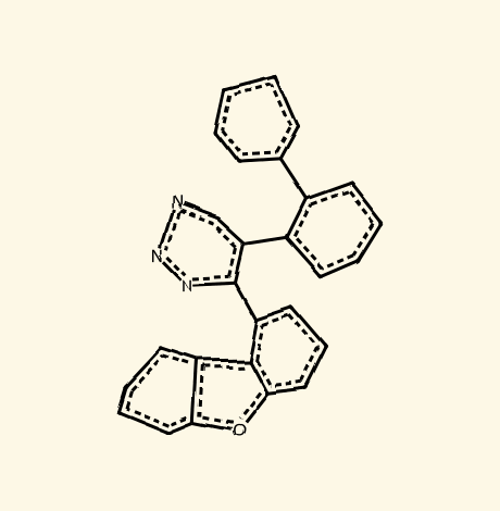 c1ccc(-c2ccccc2-c2cnnnc2-c2cccc3oc4ccccc4c23)cc1